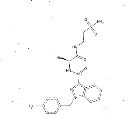 CC(C)(C)[C@H](NC(=O)c1nn(Cc2ccc(C(F)(F)F)cc2)c2ccccc12)C(=O)NCCS(N)(=O)=O